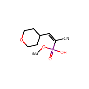 CCC(C)OP(=O)(O)C(C#N)=CC1CCOCC1